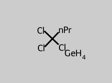 CCCC(Cl)(Cl)Cl.[GeH4]